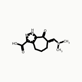 CN(C)/C=C1\CCCc2c(C(=O)O)n[nH]c2C1=O